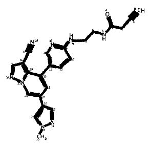 C#CCC(=O)NCCNc1ccc(-c2cc(-c3cnn(C)c3)cn3ncc(C#N)c23)cn1